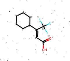 O=C(O)C=C(C1CCCCC1)C(F)(F)F